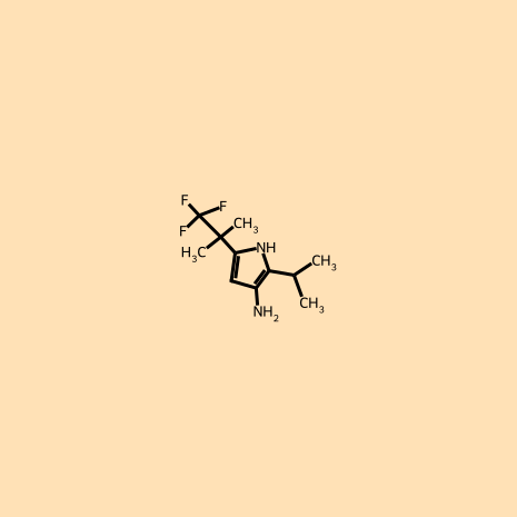 CC(C)c1[nH]c(C(C)(C)C(F)(F)F)cc1N